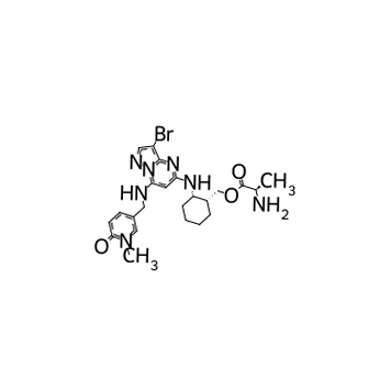 C[C@@H](N)C(=O)OC[C@@H]1CCCC[C@@H]1Nc1cc(NCc2ccc(=O)n(C)c2)n2ncc(Br)c2n1